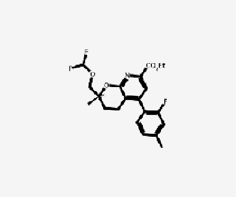 CCOC(=O)c1cc(-c2ccc(C)cc2F)c2c(n1)O[C@@](C)(COC(F)F)CC2